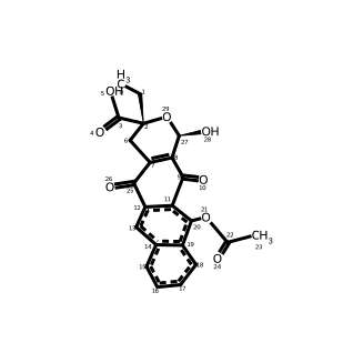 CC[C@]1(C(=O)O)CC2=C(C(=O)c3c(cc4ccccc4c3OC(C)=O)C2=O)[C@H](O)O1